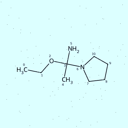 CCOC(C)(N)N1CCCC1